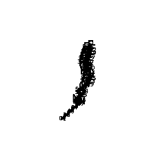 CCCCCCCCc1cnc(-c2ccc(OCC(F)(F)C(F)(F)C(F)(F)OC(F)(F)C(F)(F)OC(F)(F)C(F)(F)C(F)(F)C(F)(F)C(F)(F)C(F)(F)F)cc2)nc1